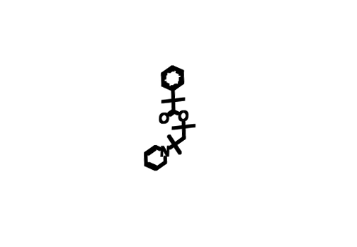 CC(C)(CC(C)(C)N1C=CC=CC1)OC(=O)C(C)(C)c1ccccc1